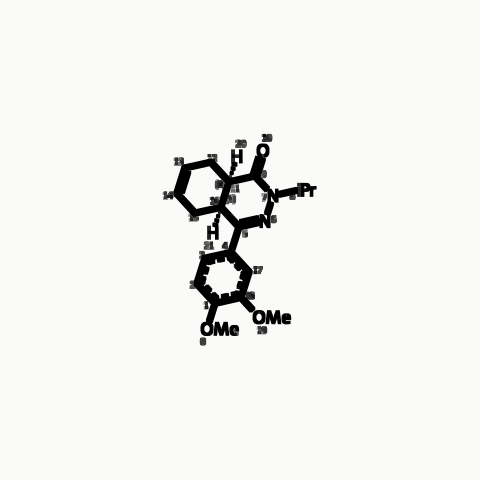 COc1ccc(C2=NN(C(C)C)C(=O)[C@@H]3CC=CC[C@H]23)cc1OC